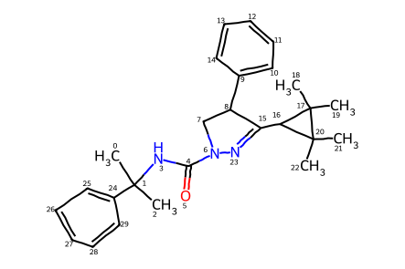 CC(C)(NC(=O)N1CC(c2ccccc2)C(C2C(C)(C)C2(C)C)=N1)c1ccccc1